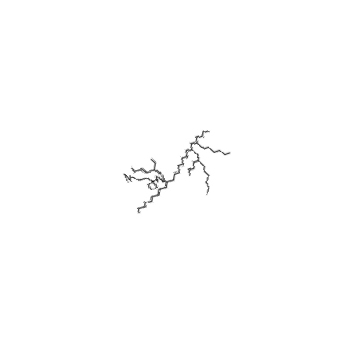 CCCCCCCCCC(CCCCCCCCC(CC(CCCC)CCCCCC)CC(CCCC)CCCCCC)N(CC(CC)CCCC)C(=O)CCCN(C)C